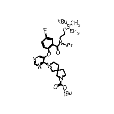 CC(C)N(CCO[Si](C)(C)C(C)(C)C)C(=O)c1cc(F)ccc1Oc1cncnc1N1CCC2(CCN(C(=O)OC(C)(C)C)C2)C1